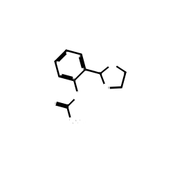 CNC(=O)Oc1ccccc1C1OCCO1